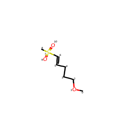 COCCCC=CS(C)(=O)=O